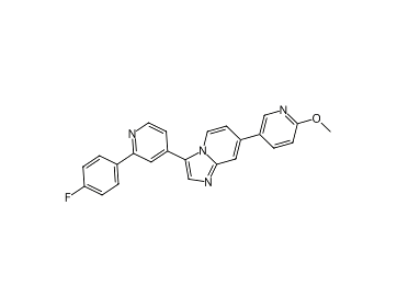 COc1ccc(-c2ccn3c(-c4ccnc(-c5ccc(F)cc5)c4)cnc3c2)cn1